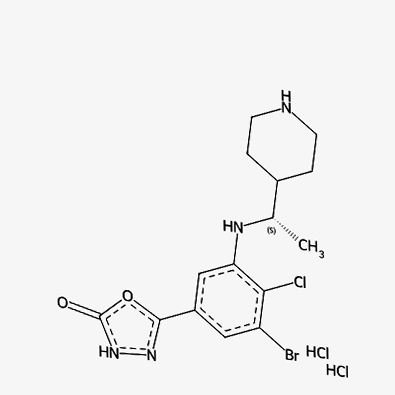 C[C@H](Nc1cc(-c2n[nH]c(=O)o2)cc(Br)c1Cl)C1CCNCC1.Cl.Cl